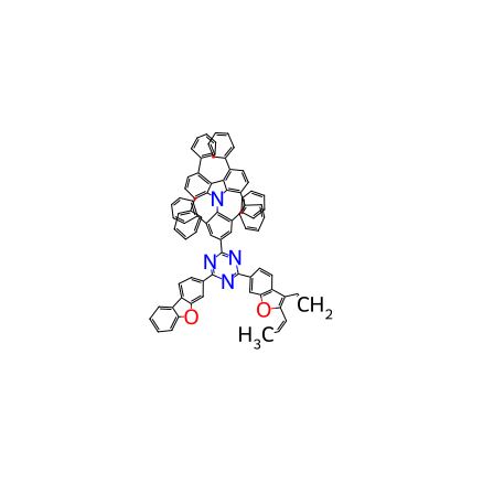 C=Cc1c(/C=C\C)oc2cc(-c3nc(-c4cc(-c5ccccc5)c(-n5c6c(-c7ccccc7)ccc(-c7ccccc7)c6c6c(-c7ccccc7)ccc(-c7ccccc7)c65)c(-c5ccccc5)c4)nc(-c4ccc5c(c4)oc4ccccc45)n3)ccc12